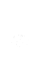 FC1(F)CCC2OCCNC21